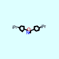 CC(C)c1ccc(-c2cnc(-c3ccc(C(C)C)cc3)o2)cc1